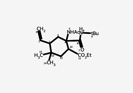 C=CC1CC(NC(C)=O)(C(=O)NC(C)(C)C)C(C(=O)OCC)CC1(C)C